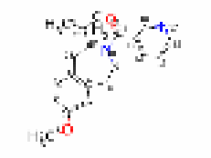 COc1ccc2c(c1)CCN(C(=O)c1cccnc1)C(C(C)C)C2